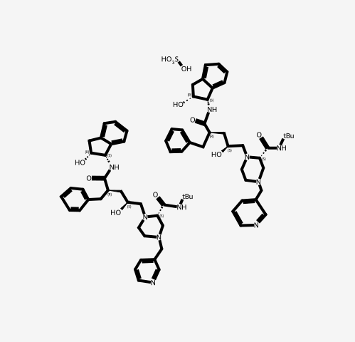 CC(C)(C)NC(=O)[C@@H]1CN(Cc2cccnc2)CCN1C[C@@H](O)C[C@@H](Cc1ccccc1)C(=O)N[C@H]1c2ccccc2C[C@H]1O.CC(C)(C)NC(=O)[C@@H]1CN(Cc2cccnc2)CCN1C[C@@H](O)C[C@@H](Cc1ccccc1)C(=O)N[C@H]1c2ccccc2C[C@H]1O.O=S(=O)(O)O